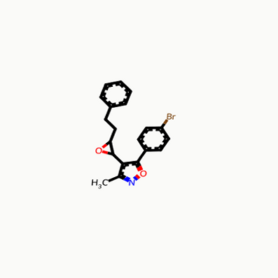 Cc1noc(-c2ccc(Br)cc2)c1C1OC1CCc1ccccc1